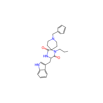 CCCN1C(=O)C(Cc2c[nH]c3ccccc23)NC(=O)C12CCN(Cc1ccccc1)CC2